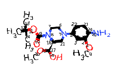 COc1cc(N2CCN(C(=O)OC(C)(C)C)[C@H](C(O)OC)C2)ccc1N